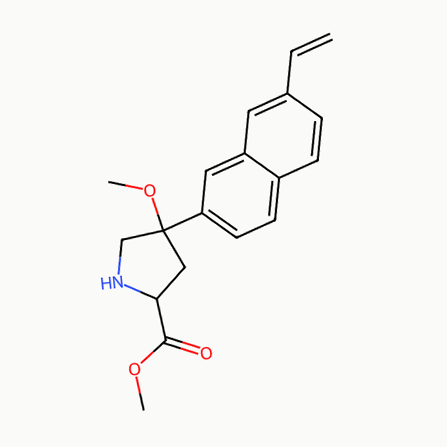 C=Cc1ccc2ccc(C3(OC)CNC(C(=O)OC)C3)cc2c1